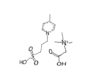 C[N+](C)(C)CC(=O)O.Cc1cc[n+](CCCS(=O)(=O)O)cc1